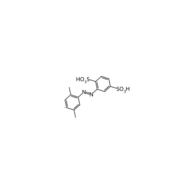 Cc1[c]cc(C)c(/N=N/c2cc(S(=O)(=O)O)ccc2S(=O)(=O)O)c1